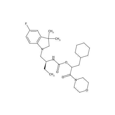 CC[C@@H](CN1CC(C)(C)c2cc(F)ccc21)NC(=O)OC(CC1CCCCC1)C(=O)N1CCOCC1